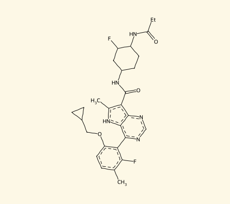 CCC(=O)NC1CCC(NC(=O)c2c(C)[nH]c3c(-c4c(OCC5CC5)ccc(C)c4F)ncnc23)CC1F